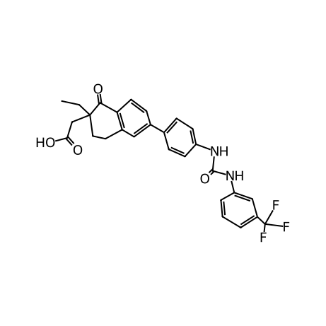 CCC1(CC(=O)O)CCc2cc(-c3ccc(NC(=O)Nc4cccc(C(F)(F)F)c4)cc3)ccc2C1=O